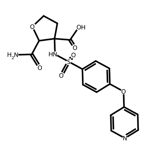 NC(=O)C1OCCC1(NS(=O)(=O)c1ccc(Oc2ccncc2)cc1)C(=O)O